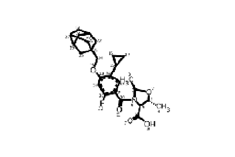 CC1O[C@H](C)[C@@H](C(=O)O)N1C(=O)c1cc(C2CC2)c(OCC23CC4CC(C2)C(C4)C3)cc1F